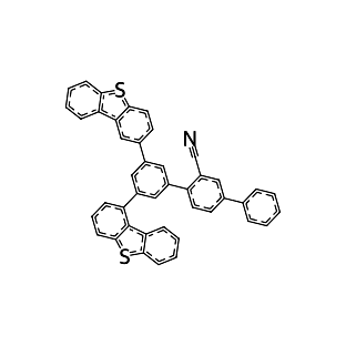 N#Cc1cc(-c2ccccc2)ccc1-c1cc(-c2ccc3sc4ccccc4c3c2)cc(-c2cccc3sc4ccccc4c23)c1